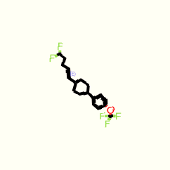 FC(F)CC/C=C/C1CCC(c2ccc(OC(F)(F)F)cc2)CC1